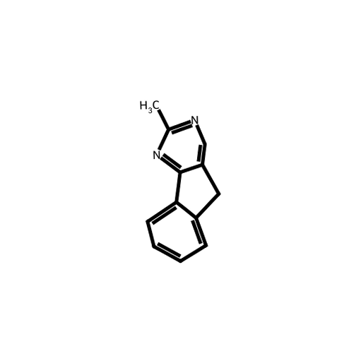 Cc1ncc2c(n1)-c1ccccc1C2